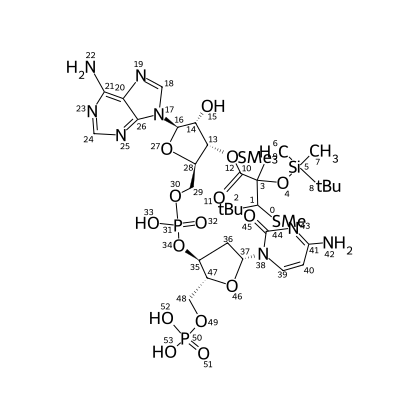 CSC(C(C)(C)C)C(O[Si](C)(C)C(C)(C)C)(SC)C(=O)O[C@H]1[C@@H](O)[C@H](n2cnc3c(N)ncnc32)O[C@@H]1COP(=O)(O)O[C@H]1C[C@H](n2ccc(N)nc2=O)O[C@@H]1COP(=O)(O)O